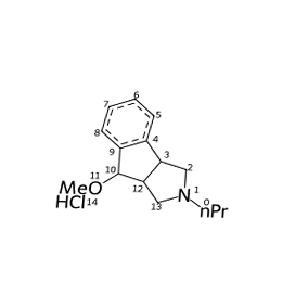 CCCN1CC2c3ccccc3C(OC)C2C1.Cl